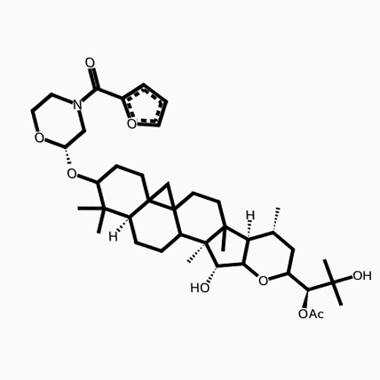 CC(=O)O[C@@H](C1C[C@@H](C)[C@H]2C(O1)[C@H](O)[C@@]1(C)C3CC[C@H]4C(C)(C)C(O[C@H]5CN(C(=O)c6ccco6)CCO5)CCC45CC35CCC21C)C(C)(C)O